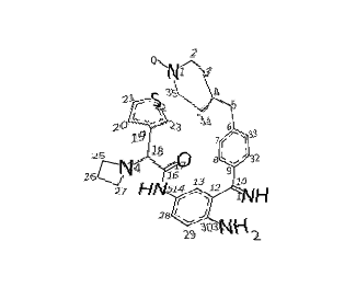 CN1CCC(Cc2ccc(C(=N)c3cc(NC(=O)C(c4ccsc4)N4CCC4)ccc3N)cc2)CC1